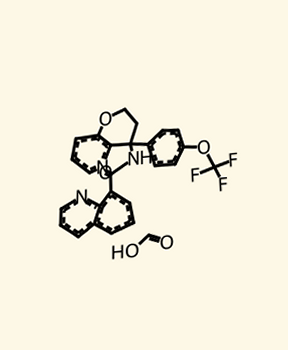 O=C(NC1(c2ccc(OC(F)(F)F)cc2)CCOc2cccnc21)c1cccc2cccnc12.O=CO